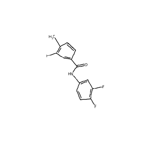 Cc1ccc(C(=O)Nc2ccc(F)c(F)c2)cc1I